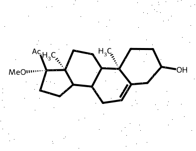 CO[C@@]1(C(C)=O)CCC2C3CC=C4CC(O)CC[C@]4(C)C3CC[C@@]21C